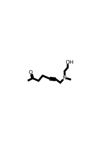 CC(=O)CCC#CCN(C)CCO